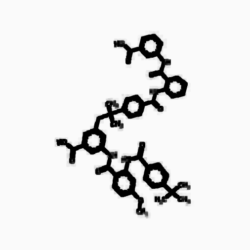 COc1ccc(C(=O)Nc2cc(CC(C)(C)c3ccc(C(=O)Nc4ccccc4C(=O)Nc4cccc(C(=O)O)c4)cc3)cc(C(=O)O)c2)c(NC(=O)c2ccc(C(C)(C)C)cc2)c1